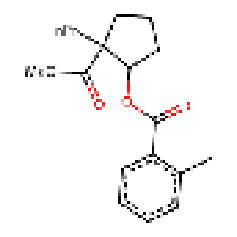 CCCC1(C(=O)OC)CCCC1OC(=O)c1ccccc1C